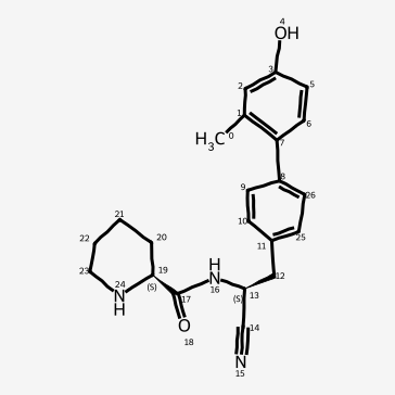 Cc1cc(O)ccc1-c1ccc(C[C@@H](C#N)NC(=O)[C@@H]2CCCCN2)cc1